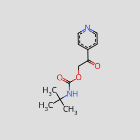 CC(C)(C)NC(=O)OCC(=O)c1ccncc1